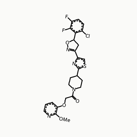 COc1ncccc1OCC(=O)N1CCC(c2nc(C3=NOC(c4c(Cl)ccc(F)c4F)C3)cs2)CC1